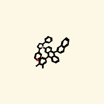 Cc1cc(-c2c3ccccc3c(-c3ccc4ccccc4c3)c3ccc(N4C(c5ccccc5)CCC4c4ccccc4)cc23)cc(C)c1C